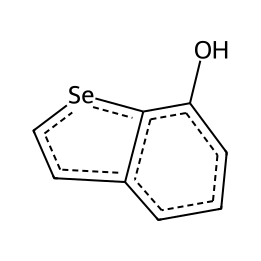 Oc1cccc2cc[se]c12